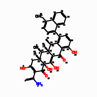 C=C(N)C1=C(O)C[C@@H]2[C@@H](N=O)[C@H]3C(=C(O)[C@]2(O)C1=O)C(=O)c1c(O)ccc(-c2ccc(C=O)c4ccccc24)c1[C@@H]3C